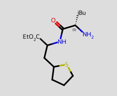 CCOC(=O)C(CC1CCCS1)NC(=O)[C@@H](N)C(C)CC